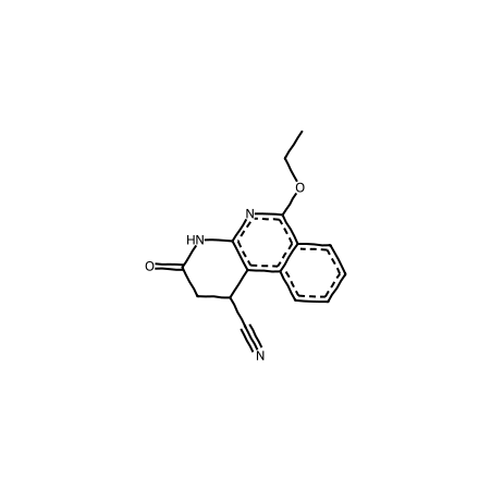 CCOc1nc2c(c3ccccc13)C(C#N)CC(=O)N2